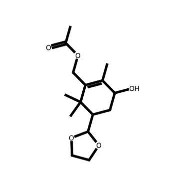 CC(=O)OCC1=C(C)C(O)CC(C2OCCO2)C1(C)C